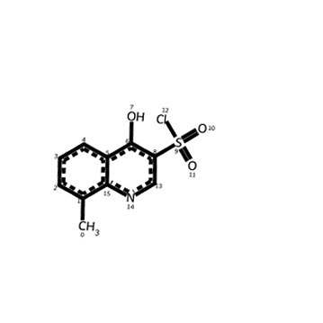 Cc1cccc2c(O)c(S(=O)(=O)Cl)cnc12